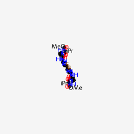 COC(=O)N[C@H](C(=O)N1CCC[C@H]1C(=O)Nc1cn2cc(-c3cn4cc(NC(=O)[C@@H]5CCCN5C(=O)[C@@H](NC(=O)OC)C(C)C)nc4s3)sc2n1)C(C)C